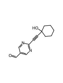 O=Cc1cnc(C#CC2(O)CCCCC2)nc1